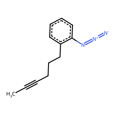 CC#CCCCc1ccccc1N=[N+]=[N-]